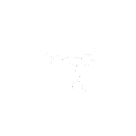 CCN(CC)CC[CH2][Ge]([CH3])([CH2]CCN(CC)CC)[CH2]CCN(CC)CC